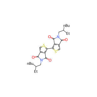 CCCCC(CC)CN1C(=O)c2csc(-c3scc4c3C(=O)N(CC(CC)CCCC)C4=O)c2C1=O